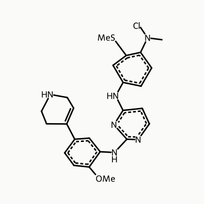 COc1ccc(C2=CCNCC2)cc1Nc1nccc(Nc2ccc(N(C)Cl)c(SC)c2)n1